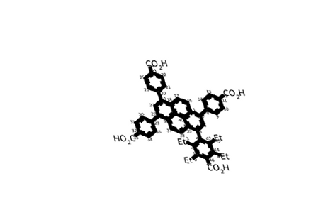 CCc1c(CC)c(-c2cc(-c3ccc(C(=O)O)cc3)c3ccc4c(-c5ccc(C(=O)O)cc5)cc(-c5ccc(C(=O)O)cc5)c5ccc2c3c45)c(CC)c(CC)c1C(=O)O